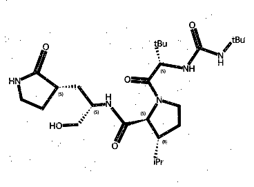 CC(C)[C@H]1CCN(C(=O)[C@@H](NC(=O)NC(C)(C)C)C(C)(C)C)[C@@H]1C(=O)N[C@H](CO)C[C@@H]1CCNC1=O